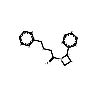 O=C(CCCc1ccccc1)N1CCC1c1ccccc1